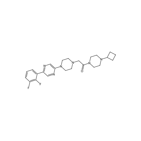 O=C(CN1CCN(c2cnc(-c3cccc(F)c3F)cn2)CC1)N1CCN(C2CCC2)CC1